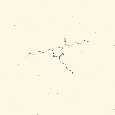 CCCCCCC(COC(=O)CCCCC)OC(=O)CCCCC